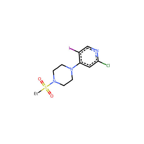 CCS(=O)(=O)N1CCN(c2cc(Cl)ncc2I)CC1